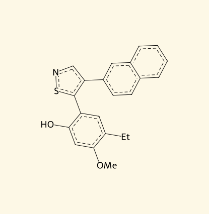 CCc1cc(-c2sncc2-c2ccc3ccccc3c2)c(O)cc1OC